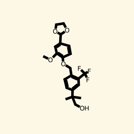 COc1cc(C2OCCO2)ccc1OCc1ccc(C(C)(C)CO)cc1C(F)(F)F